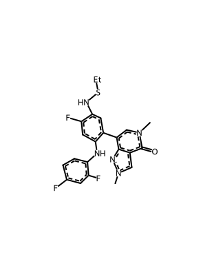 CCSNc1cc(-c2cn(C)c(=O)c3cn(C)nc23)c(Nc2ccc(F)cc2F)cc1F